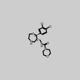 O=C(NC[C@@H]1CNCCO[C@H]1c1ccc(Cl)c(Cl)c1)N1CCOCC1